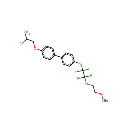 CCCCOCCOC(F)(F)C(F)(F)Oc1ccc(-c2ccc(OCC(C)Cl)cc2)cc1